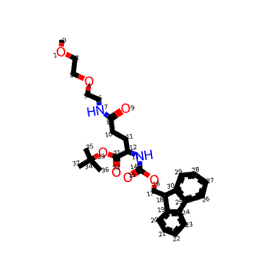 COCCOCCNC(=O)CCC(NC(=O)OCC1c2ccccc2-c2ccccc21)C(=O)OC(C)(C)C